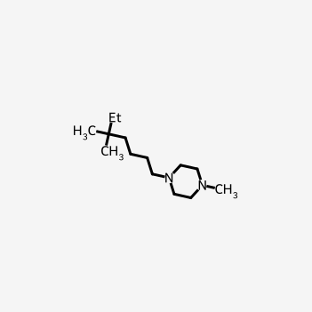 CCC(C)(C)CCCCN1CCN(C)CC1